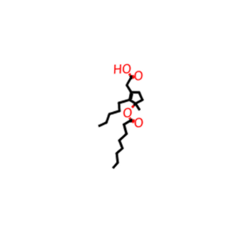 CCCCCCCC(=O)OC1(C)CCC(CC(=O)O)=C1CCCCC